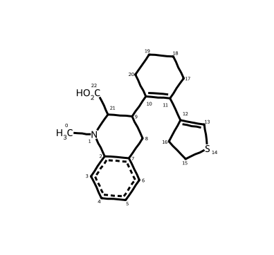 CN1c2ccccc2CC(C2=C(C3=CSCC3)CCCC2)C1C(=O)O